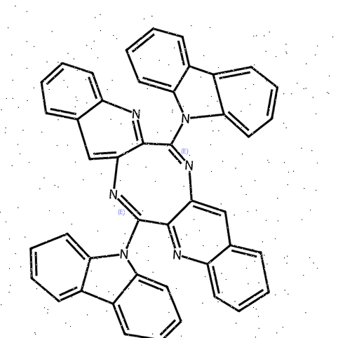 c1ccc2nc3c(cc2c1)/N=C(/n1c2ccccc2c2ccccc21)c1nc2ccccc2cc1/N=C\3n1c2ccccc2c2ccccc21